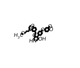 COCCCN1CCOc2ccc(COC3CNCC(O)C3c3ccc(Oc4ccc5c(c4)OCO5)cc3)cc21